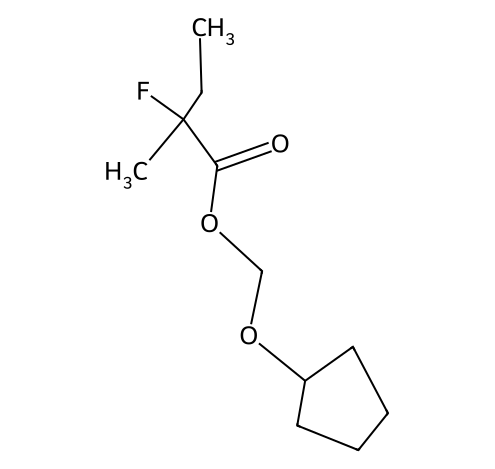 CCC(C)(F)C(=O)OCOC1CCCC1